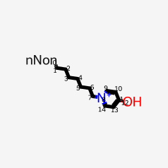 CCCCCCCCCCCCCCCC[n+]1ccc(O)cc1